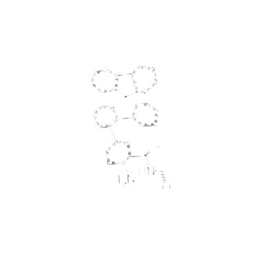 CNc1ccc(-c2cccc3c2-c2ccccc2C32c3ccccc3-c3ccccc32)cc1C(=O)NC=O